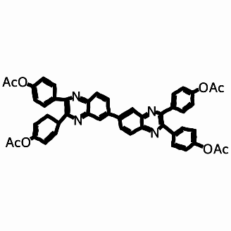 CC(=O)OC1=CCC(c2nc3cc(-c4ccc5nc(-c6ccc(OC(C)=O)cc6)c(-c6ccc(OC(C)=O)cc6)nc5c4)ccc3nc2-c2ccc(OC(C)=O)cc2)C=C1